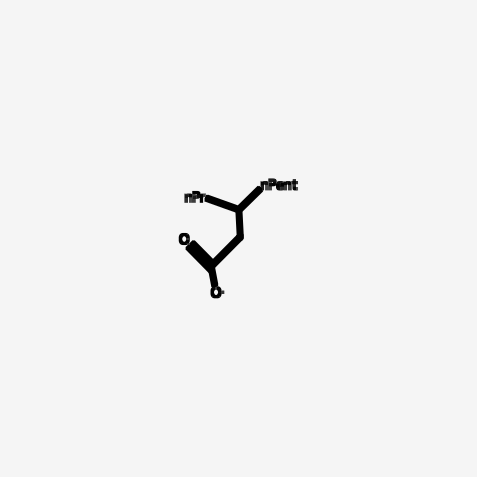 CCCCCC(CCC)CC([O])=O